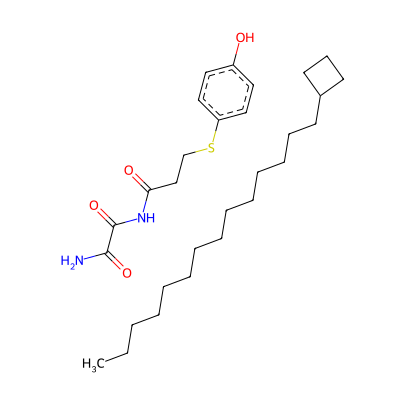 CCCCCCCCCCCCCCC1CCC1.NC(=O)C(=O)NC(=O)CCSc1ccc(O)cc1